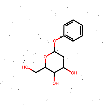 OCC1OC(Oc2ccccc2)CC(O)C1O